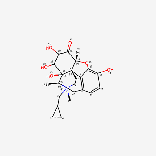 C[N@+]1(CC2CC2)CC[C@]23c4c5ccc(O)c4O[C@H]2C(=O)C(O)C(O)[C@@]3(O)[C@H]1C5